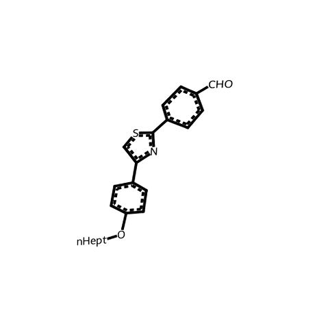 CCCCCCCOc1ccc(-c2csc(-c3ccc(C=O)cc3)n2)cc1